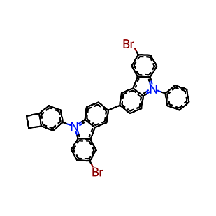 Brc1ccc2c(c1)c1cc(-c3ccc4c(c3)c3cc(Br)ccc3n4-c3ccc4c(c3)CC4)ccc1n2-c1ccccc1